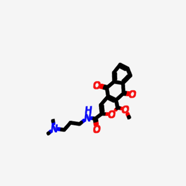 COC1OC(C(=O)NCCCN(C)C)=CC2=C1C(=O)c1ccccc1C2=O